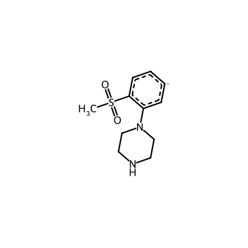 CS(=O)(=O)c1cc[c]cc1N1CCNCC1